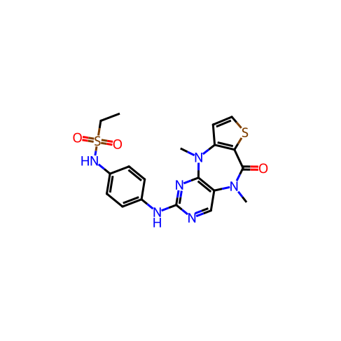 CCS(=O)(=O)Nc1ccc(Nc2ncc3c(n2)N(C)c2ccsc2C(=O)N3C)cc1